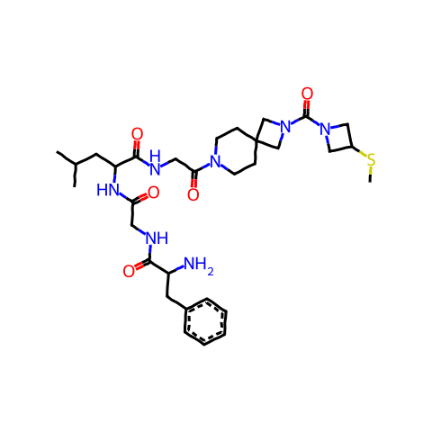 CSC1CN(C(=O)N2CC3(CCN(C(=O)CNC(=O)C(CC(C)C)NC(=O)CNC(=O)C(N)Cc4ccccc4)CC3)C2)C1